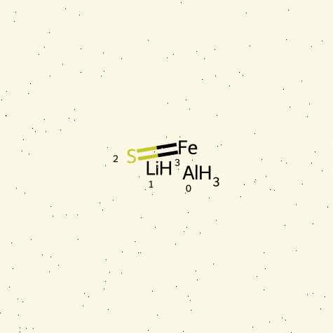 [AlH3].[LiH].[S]=[Fe]